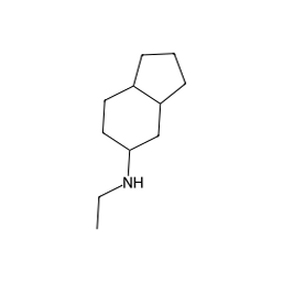 CCNC1CCC2CCCC2C1